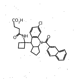 O=C(O)CCC(=O)NC1(C2c3ccc(Cl)cc3N(C(=O)c3ccc4ccccc4c3)C3CCCC32)CCC1